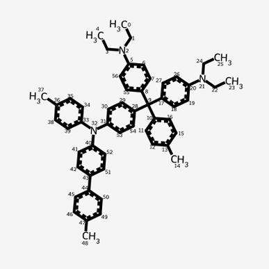 CCN(CC)c1ccc(C(c2ccc(C)cc2)(c2ccc(N(CC)CC)cc2)c2ccc(N(c3ccc(C)cc3)c3ccc(-c4ccc(C)cc4)cc3)cc2)cc1